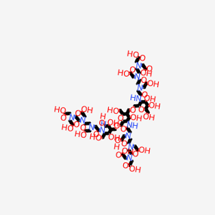 O=C(O)CN(CCN(CC(=O)O)CC(=O)O)CCN(CC(=O)O)CC(=O)NC(CO)C(O)C(COCC1OC(CO)C(COCC2OC(CO)C(O)C(O)C2NC(=O)CN(CCN(CCN(CC(=O)O)CC(=O)O)CC(=O)O)CC(=O)O)C(O)C1NC(=O)CN(CCN(CCN(CC(=O)O)CC(=O)O)CC(=O)O)CC(=O)O)C(O)CO